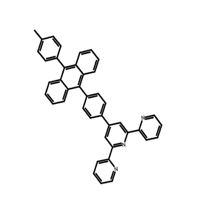 Cc1ccc(-c2c3ccccc3c(-c3ccc(-c4cc(-c5ccccn5)nc(-c5ccccn5)c4)cc3)c3ccccc23)cc1